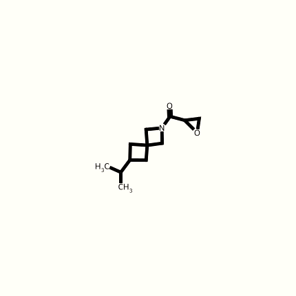 CC(C)C1CC2(C1)CN(C(=O)C1CO1)C2